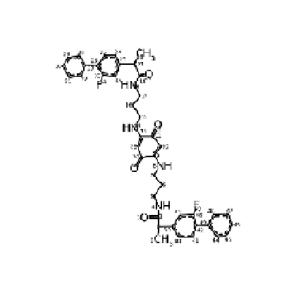 CC(C(=O)NCCCNC1=CC(=O)C(NCCCNC(=O)C(C)c2ccc(-c3ccccc3)c(F)c2)=CC1=O)c1ccc(-c2ccccc2)c(F)c1